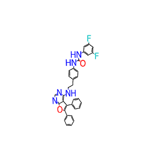 O=C(Nc1ccc(CCNc2ncnc3oc(-c4ccccc4)c(-c4ccccc4)c23)cc1)Nc1cc(F)cc(F)c1